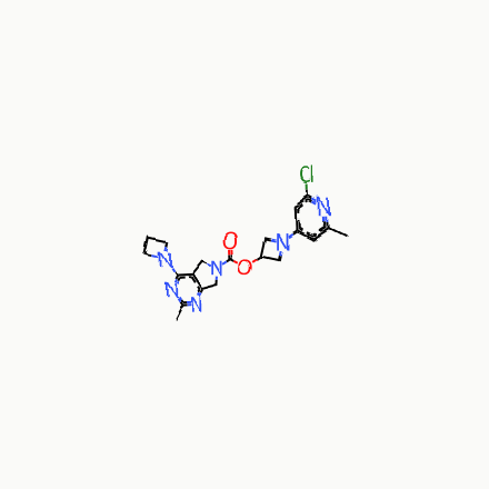 Cc1cc(N2CC(OC(=O)N3Cc4nc(C)nc(N5CCC5)c4C3)C2)cc(Cl)n1